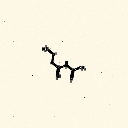 COCC(=N)NC(C)=O